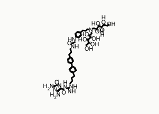 N=C(NCCCCc1ccc(-c2ccc(CCCNC(=O)CNc3ccc(CCCN(C[C@@H](O)[C@H](O)[C@@H](O)[C@@H](O)CO)C[C@H](O)[C@@H](O)[C@H](O)[C@H](O)CO)cc3)cc2)cc1)NC(=O)c1nc(Cl)c(N)nc1N